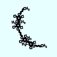 C=CCCCOc1c(Cl)cc(C(C)(C)c2cc(Cl)c(OCCCCCOc3c(Cl)cc(C(C)(C)c4cc(Cl)c(OCCCC=C)c(Cl)c4)cc3Cl)c(Cl)c2)cc1Cl